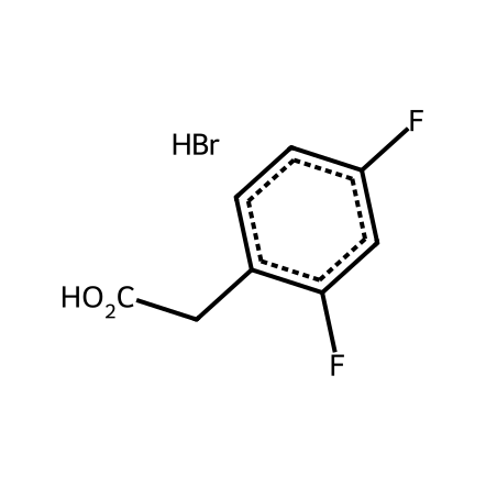 Br.O=C(O)Cc1ccc(F)cc1F